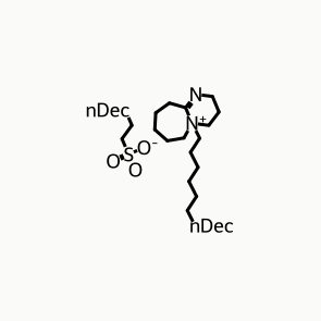 CCCCCCCCCCCCCCCC[N+]12CCCCCC1=NCCC2.CCCCCCCCCCCCS(=O)(=O)[O-]